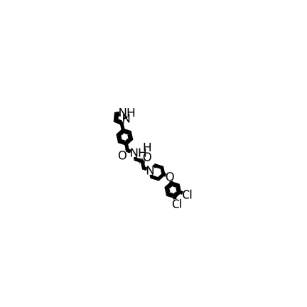 O=C(NC[C@@H](O)CN1CCC(Oc2ccc(Cl)c(Cl)c2)CC1)c1ccc(-c2cc[nH]n2)cc1